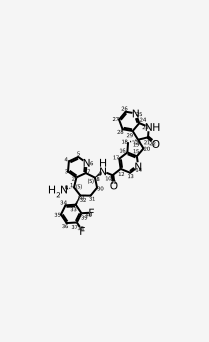 N[C@@H]1c2cccnc2[C@@H](NC(=O)c2cnc3c(c2)C[C@@]2(C3)C(=O)Nc3ncccc32)CC[C@H]1c1cccc(F)c1F